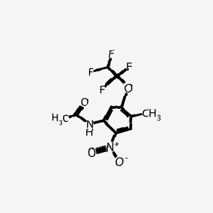 CC(=O)Nc1cc(OC(F)(F)C(F)F)c(C)cc1[N+](=O)[O-]